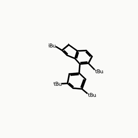 CCC(C)C1=Cc2c(ccc(C(C)(C)C)c2-c2cc(C(C)(C)C)cc(C(C)(C)C)c2)[CH]1